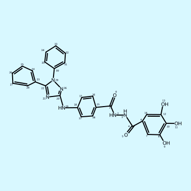 O=C(NNC(=O)c1cc(O)c(O)c(O)c1)c1ccc(Nc2nc(-c3ccccc3)n(-c3ccccc3)n2)cc1